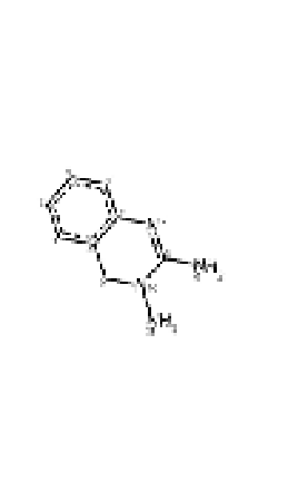 NC1=Nc2ccccc2CN1N